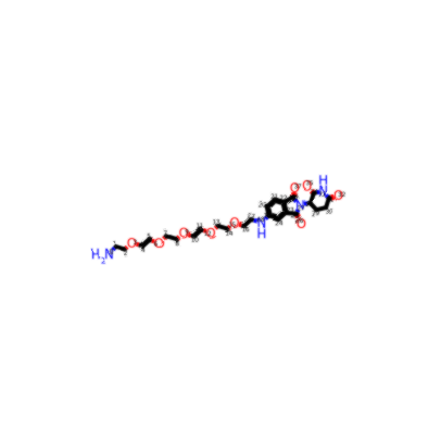 NCCOCCOCCOCCOCCOCCNc1ccc2c(c1)C(=O)N(C1CCC(=O)NC1=O)C2=O